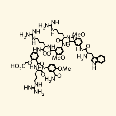 COc1ccc(NC(=O)[C@@H](CCCNC(=N)N)NC(=O)c2cc(NC(=O)[C@@H](CCCNC(=N)N)NC(=O)c3cc(NC(=O)[C@@H](CCCNC(=N)N)NC(=O)c4cc(NC(=O)[C@H](N)Cc5c[nH]c6ccccc56)ccc4OC)ccc3OC)ccc2OCC(=O)O)cc1C(N)=O